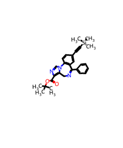 CC(C)(C)OC(=O)c1ncn2c1CN=C(c1ccccc1)c1cc(C#C[Si](C)(C)C)ccc1-2